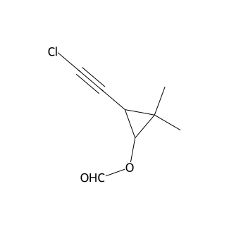 CC1(C)C(C#CCl)C1OC=O